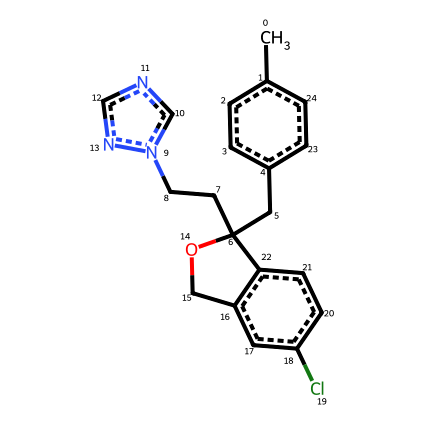 Cc1ccc(CC2(CCn3cncn3)OCc3cc(Cl)ccc32)cc1